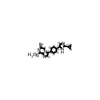 CSc1nc(Br)cn2c(-c3ccc(-c4cnc(C5CC5)[nH]4)cc3)cnc12